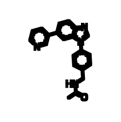 CC(=O)NCc1ccc(-n2cnc3ccc(-c4cccnc4)cc32)cc1